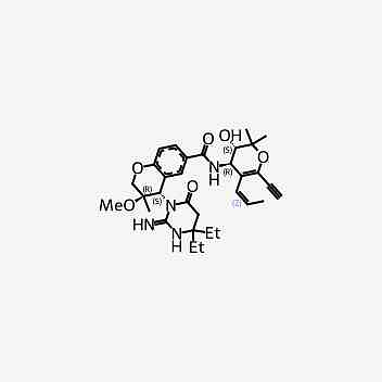 C#CC1=C(/C=C\C)[C@@H](NC(=O)c2ccc3c(c2)[C@H](N2C(=N)NC(CC)(CC)CC2=O)[C@@](C)(OC)CO3)[C@H](O)C(C)(C)O1